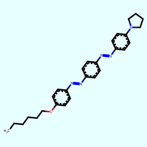 CCCCCCOc1ccc(N=Nc2ccc(N=Nc3ccc(N4CCCC4)cc3)cc2)cc1